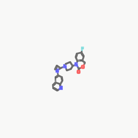 O=C1OCc2cc(F)ccc2N1C1CCN(C2C=CN2c2ccc3ncccc3c2)CC1